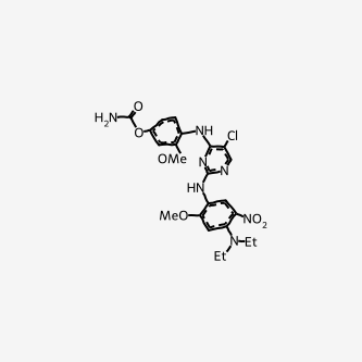 CCN(CC)c1cc(OC)c(Nc2ncc(Cl)c(Nc3ccc(OC(N)=O)cc3OC)n2)cc1[N+](=O)[O-]